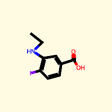 CCNc1cc(C(=O)O)ccc1I